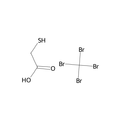 BrC(Br)(Br)Br.O=C(O)CS